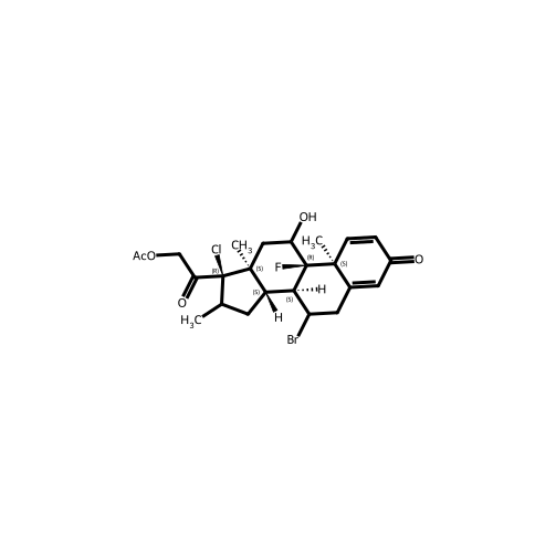 CC(=O)OCC(=O)[C@@]1(Cl)C(C)C[C@H]2[C@@H]3C(Br)CC4=CC(=O)C=C[C@]4(C)[C@@]3(F)C(O)C[C@@]21C